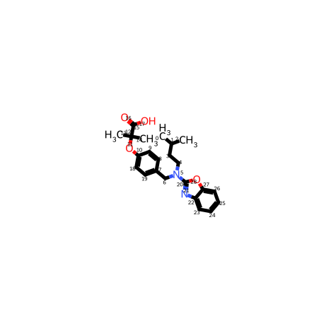 CC(C)CCN(Cc1ccc(OC(C)(C)C(=O)O)cc1)c1nc2ccccc2o1